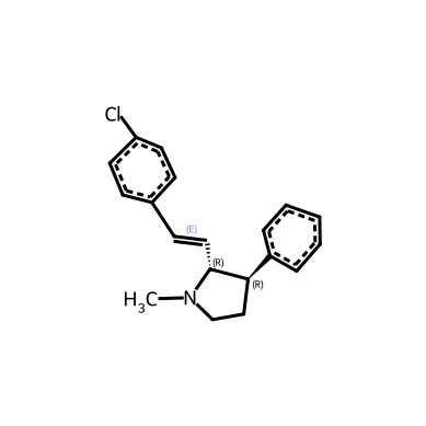 CN1CC[C@H](c2ccccc2)[C@H]1/C=C/c1ccc(Cl)cc1